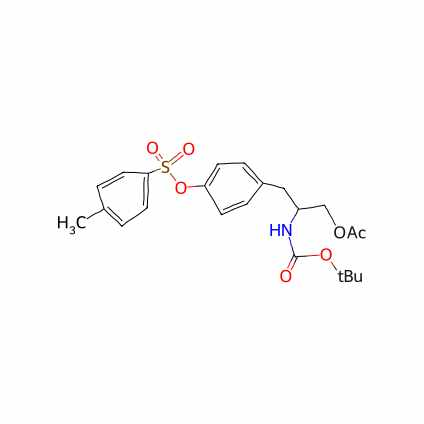 CC(=O)OCC(Cc1ccc(OS(=O)(=O)c2ccc(C)cc2)cc1)NC(=O)OC(C)(C)C